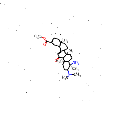 COC(=O)C1CCC2(C)CCC3C(=CC(=O)C4C3(C)CCC3[C@@](C)(N)C(N(C)C)CC[C@]43C)C2C1